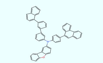 c1cc(-c2cccc(N(c3ccc(-c4cc5ccccc5c5ccccc45)cc3)c3ccc4oc5ccccc5c4c3)c2)cc(-c2cccc3ccccc23)c1